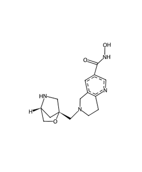 O=C(NO)c1cnc2c(c1)CN(C[C@@]13CN[C@@H](CO1)C3)CC2